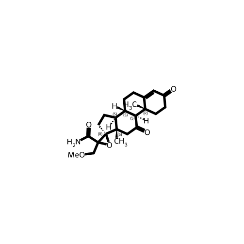 COCC1(C(N)=O)O[C@@]12CC[C@H]1[C@@H]3CCC4=CC(=O)CC[C@]4(C)[C@H]3C(=O)C[C@@]12C